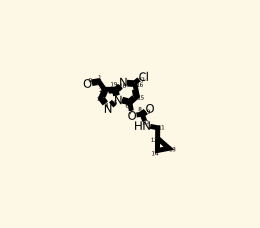 O=Cc1cnn2c(OC(=O)NCC3CC3)cc(Cl)nc12